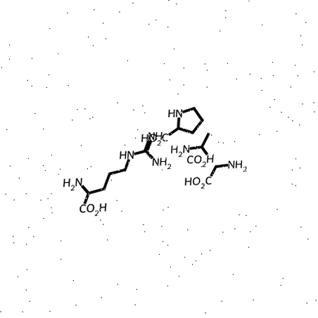 CC(N)C(=O)O.N=C(N)NCCCC(N)C(=O)O.NCC(=O)O.O=C(O)C1CCCN1